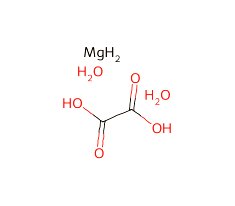 O.O.O=C(O)C(=O)O.[MgH2]